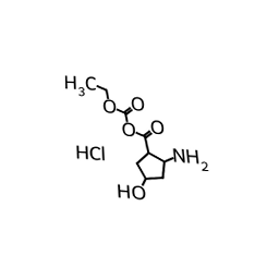 CCOC(=O)OC(=O)C1CC(O)CC1N.Cl